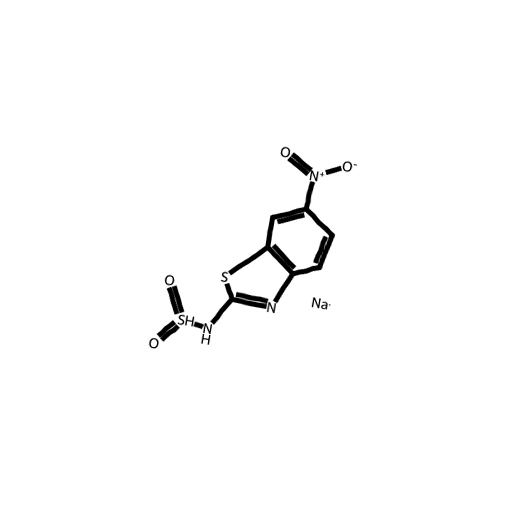 O=[N+]([O-])c1ccc2nc(N[SH](=O)=O)sc2c1.[Na]